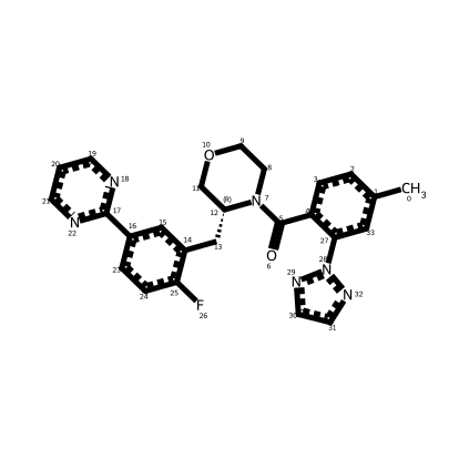 Cc1ccc(C(=O)N2CCOC[C@H]2Cc2cc(-c3ncccn3)ccc2F)c(-n2nccn2)c1